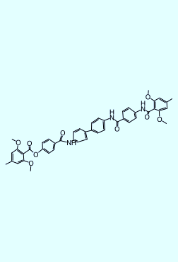 COc1cc(C)cc(OC)c1C(=O)Nc1ccc(C(=O)Nc2ccc(-c3ccc(NC(=O)c4ccc(OC(=O)c5c(OC)cc(C)cc5OC)cc4)cc3)cc2)cc1